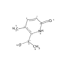 Cc1ccc(=O)[nH]c1[S+](C)[O-]